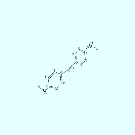 CNc1ccc(C#Cc2ccc(OC)cc2)cc1